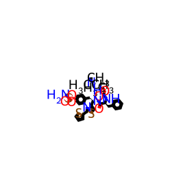 CN(C)C.COC(=O)N[C@@H](Cc1ccccc1)C(=O)N[C@@H](Cc1ccc(OS(N)(=O)=O)cc1)c1csc(-c2cccs2)n1